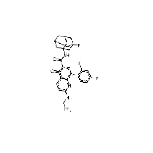 O=C(NC12CC3CC(CC(F)(C3)C1)C2)c1cn(-c2ccc(F)cc2F)c2nc(NCC(F)(F)F)ccc2c1=O